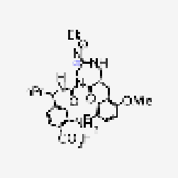 CCCC(NC(=O)N1C/C(=N/OCC)NCC(Cc2cc(F)ccc2OC)C1=O)c1ccc(C(=O)O)c(N)c1